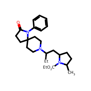 CCOC(=O)N1C(C)CCC1CC(CC)N1CCC2(CCC(=O)N2c2ccccc2)CC1